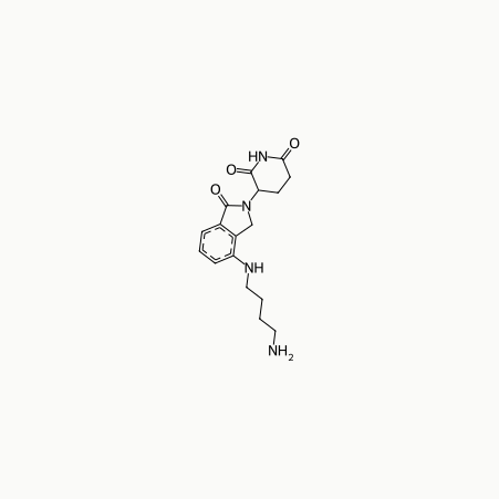 NCCCCNc1cccc2c1CN(C1CCC(=O)NC1=O)C2=O